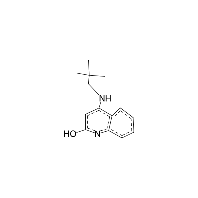 CC(C)(C)CNc1cc(O)nc2ccccc12